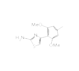 COc1cc(C)cc(OC)c1-c1csc(N)n1